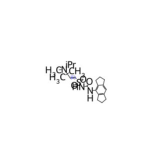 CC(C)N(C)C(C)(C)/C=C/S(=O)(=O)NC(=O)Nc1c2c(cc3c1CCC3)CCC2